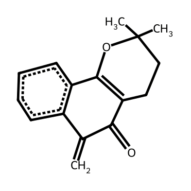 C=C1C(=O)C2=C(OC(C)(C)CC2)c2ccccc21